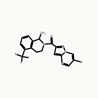 CC1c2cccc(C(F)(F)F)c2CCN1C(=O)c1cc2ncc(Br)cn2n1